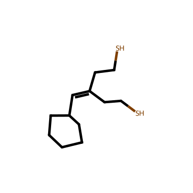 SCCC(=CC1CCCCC1)CCS